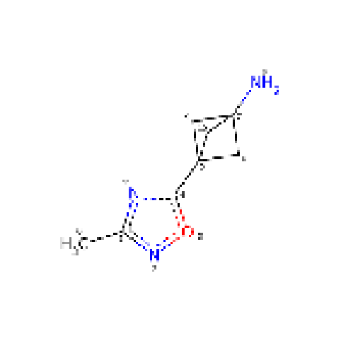 Cc1noc(C23CC(N)(C2)C3)n1